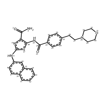 NC(=O)c1nc(Nc2ccc3ccccc3c2)sc1NC(=O)c1ccc(CCN2CCOCC2)cc1